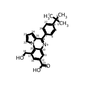 CC(C)(C)c1ccc(-c2nc3cc(C(=O)O)cc(CO)c3n3cccc23)cc1